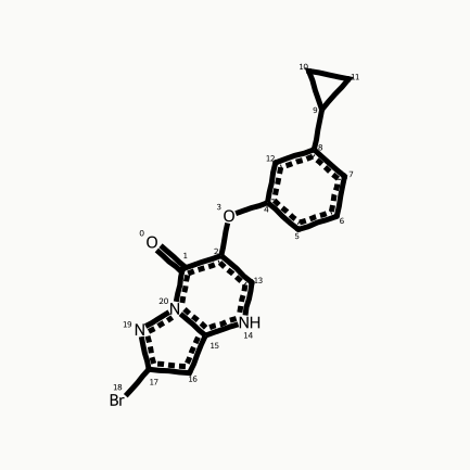 O=c1c(Oc2cccc(C3CC3)c2)c[nH]c2cc(Br)nn12